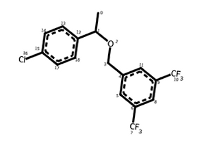 CC(OCc1cc(C(F)(F)F)cc(C(F)(F)F)c1)c1ccc(Cl)cc1